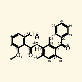 COc1cccc(Cl)c1C(=O)[PH](=O)c1c(C)cc(C)c(C(=O)c2ccccc2)c1C